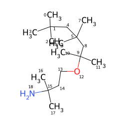 CC(C)(C)CC(C)(C)CC(C)(C)OCCC(C)(C)N